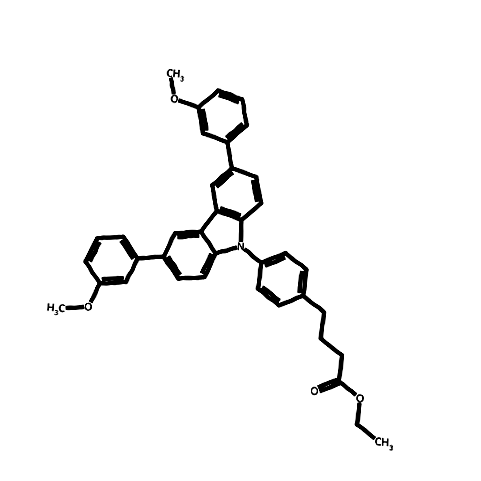 CCOC(=O)CCCc1ccc(-n2c3ccc(-c4cccc(OC)c4)cc3c3cc(-c4cccc(OC)c4)ccc32)cc1